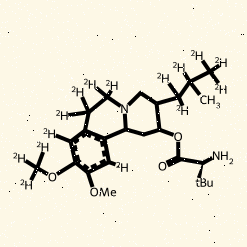 [2H]c1c(OC)c(OC([2H])([2H])[2H])c([2H])c2c1C1CC(OC(=O)[C@@H](N)C(C)(C)C)C(C([2H])([2H])C([2H])(C)C([2H])([2H])[2H])CN1C([2H])([2H])C2([2H])[2H]